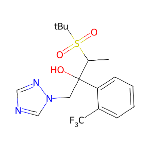 CC(C(O)(Cn1cncn1)c1ccccc1C(F)(F)F)S(=O)(=O)C(C)(C)C